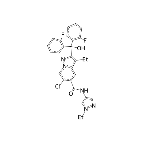 CCc1c(C(O)(c2ccccc2F)c2ccccc2F)nn2cc(Cl)c(C(=O)Nc3cnn(CC)c3)cc12